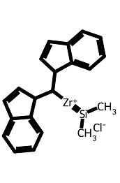 C[Si](C)=[Zr+][CH](C1C=Cc2ccccc21)C1C=Cc2ccccc21.[Cl-]